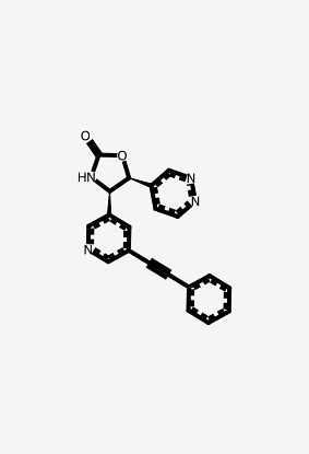 O=C1N[C@H](c2cncc(C#Cc3ccccc3)c2)[C@H](c2ccnnc2)O1